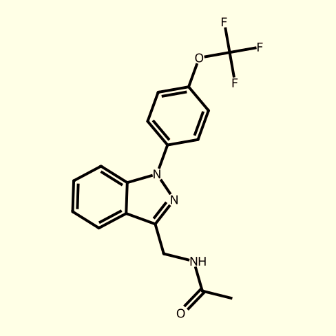 CC(=O)NCc1nn(-c2ccc(OC(F)(F)F)cc2)c2ccccc12